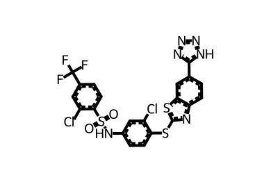 O=S(=O)(Nc1ccc(Sc2nc3ccc(-c4nnn[nH]4)cc3s2)c(Cl)c1)c1ccc(C(F)(F)F)cc1Cl